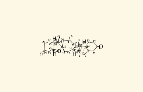 CC1=C2C[C@H]3[C@@H](CCC4=CC(=O)CC[C@@]43C)[C@@H]2CC[C@@]2(C1)O[C@@H]1C[C@H](C)CC[C@H]1[C@H]2C